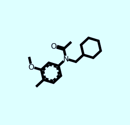 COc1cc(N(CC2CCCCC2)C(C)=O)ccc1C